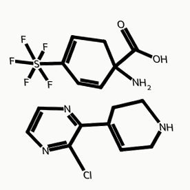 Clc1nccnc1C1=CCNCC1.NC1(C(=O)O)C=CC(S(F)(F)(F)(F)F)=CC1